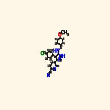 COc1ccc(CNc2[nH]nc(-c3ccc(C#N)nc3)c2-c2ccc(Cl)cc2)cc1